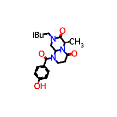 CCC(C)CN1CC2N(C(=O)c3ccc(O)cc3)CCC(=O)N2[C@H](C)C1=O